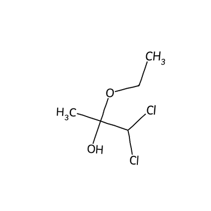 CCOC(C)(O)C(Cl)Cl